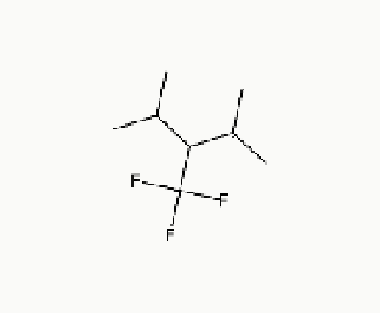 C[C](C)C(C(C)C)C(F)(F)F